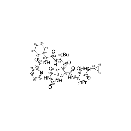 CCCC(NC(=O)C1CC2(CN1C(=O)C(NC(=O)C(NC(=O)c1cnccn1)C1CCCCC1)C(C)(C)C)NC(=O)NC2=O)C(O)C(=O)NC1CC1